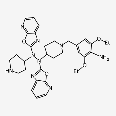 CCOc1cc(CN2CCC(N(c3nc4cccnc4o3)N(c3nc4cccnc4o3)C3CCNCC3)CC2)cc(OCC)c1N